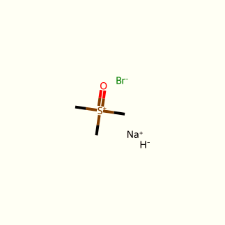 C[S+](C)(C)=O.[Br-].[H-].[Na+]